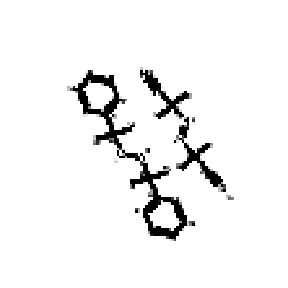 CC(C)(C#N)N=NC(C)(C)C#N.CC(C)(OOC(C)(C)c1ccccc1)c1ccccc1